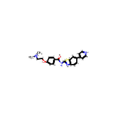 CN(C)CCOc1ccc(C(=O)Nc2nc3ccc(-c4ccncc4)cc3s2)cc1